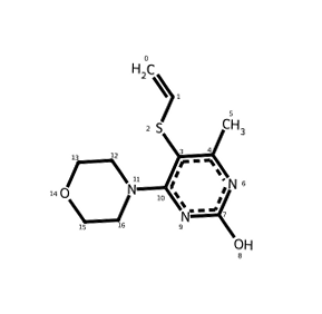 C=CSc1c(C)nc(O)nc1N1CCOCC1